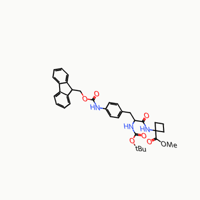 COC(=O)C1(NC(=O)C(Cc2ccc(NC(=O)OCC3c4ccccc4-c4ccccc43)cc2)NC(=O)OC(C)(C)C)CCC1